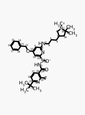 CN1CC(CCCNc2cc(OCc3ccccc3)cc([S+]([O-])NC(=O)c3ccc(C(C)(C)C)nc3F)n2)CC1(C)C